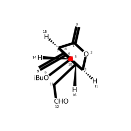 C=C1O[C@@H]2O[C@@H](OCC(C)C)[C@H]1C(=C)[C@H]2CC=O